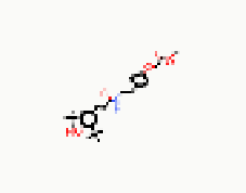 CCOC(=O)COc1ccc(CCNC(=O)CCc2cc(C(C)(C)C)c(O)c(C(C)(C)C)c2)cc1